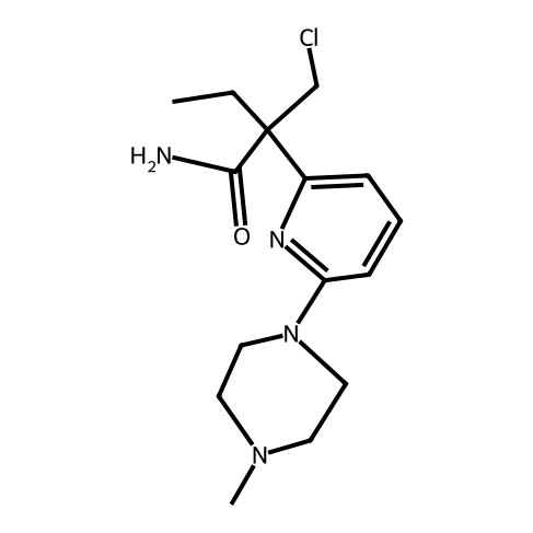 CCC(CCl)(C(N)=O)c1cccc(N2CCN(C)CC2)n1